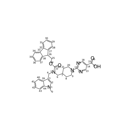 Cn1cc(CN(CC2CCN(c3ncc(C(=O)O)cn3)CC2)C(=O)OCC2c3ccccc3-c3ccccc32)c2ccccc21